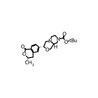 C[C@H]1Cc2cc([C@@H]3CN4CCN(C(=O)OC(C)(C)C)C[C@@H]4CO3)ccc2C(=O)O1